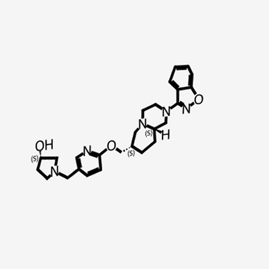 O[C@H]1CCN(Cc2ccc(OC[C@H]3CC[C@H]4CN(c5noc6ccccc56)CCN4C3)nc2)C1